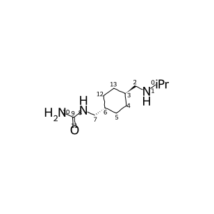 CC(C)NC[C@H]1CC[C@H](CNC(N)=O)CC1